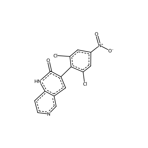 O=c1[nH]c2ccncc2cc1-c1c(Cl)cc([N+](=O)[O-])cc1Cl